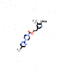 COc1ncc(CCOC(=O)N2CCN(c3ncc(C(F)(F)F)cn3)CC2)cc1C(F)(F)F